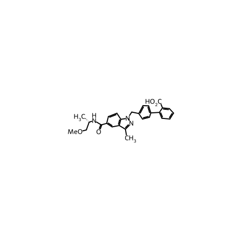 COC[C@H](C)NC(=O)c1ccc2c(c1)c(C)nn2Cc1ccc(-c2ccccc2C(=O)O)cc1